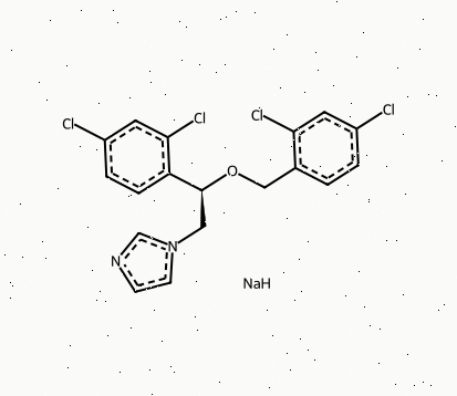 Clc1ccc(CO[C@@H](Cn2ccnc2)c2ccc(Cl)cc2Cl)c(Cl)c1.[NaH]